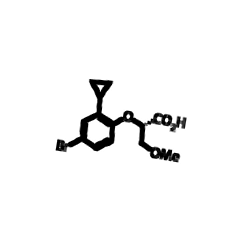 COC[C@H](Oc1ccc(Br)cc1C1CC1)C(=O)O